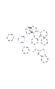 c1ccc(-c2nc(-c3ccccc3)nc(-c3cccc(-c4sc5c(c(-c6ccccc6)nc6ccccc65)c4-c4ccc5c6ccccc6c6ccccc6c5c4)c3)n2)cc1